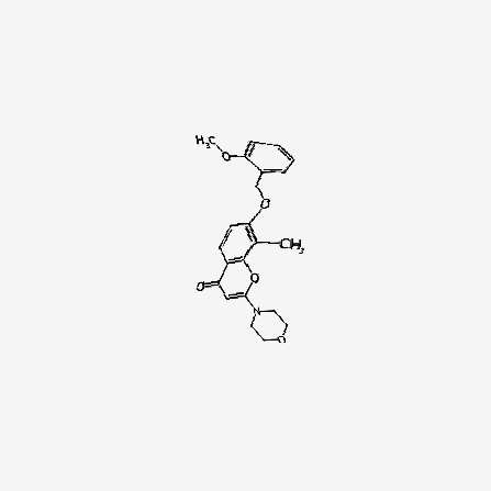 COc1ccccc1COc1ccc2c(=O)cc(N3CCOCC3)oc2c1C